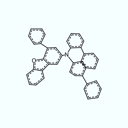 c1ccc(-c2ccc(N(c3cc(-c4ccccc4)c4oc5ccccc5c4c3)c3ccccc3-c3ccccc3)cc2)cc1